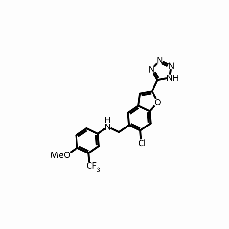 COc1ccc(NCc2cc3cc(-c4nnn[nH]4)oc3cc2Cl)cc1C(F)(F)F